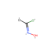 CCC(Cl)=NO